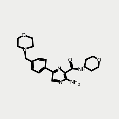 Nc1ncc(-c2ccc(CN3CCOCC3)cc2)nc1C(=O)NC1CCOCC1